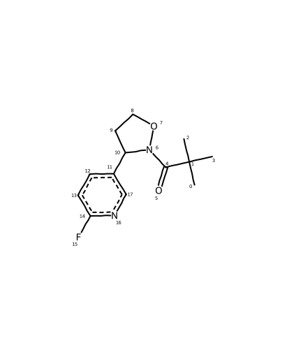 CC(C)(C)C(=O)N1OCCC1c1ccc(F)nc1